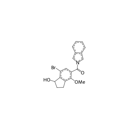 COc1c(C(=O)n2cc3ccccc3c2)cc(Br)c2c1CCC2O